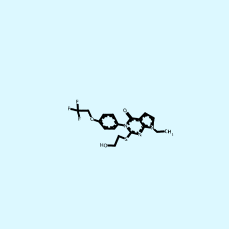 CCn1ccc2c(=O)n(-c3ccc(OCC(F)(F)F)cc3)c(SCCO)nc21